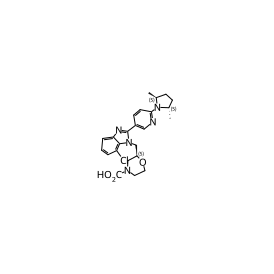 C[C@H]1CC[C@H](C)N1c1ccc(-c2nc3cccc(Cl)c3n2C[C@@H]2CN(C(=O)O)CCO2)cn1